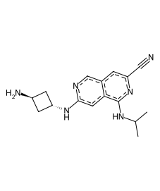 CC(C)Nc1nc(C#N)cc2cnc(N[C@H]3C[C@H](N)C3)cc12